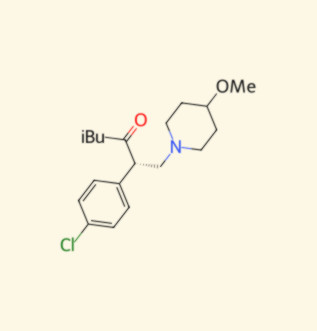 CCC(C)C(=O)[C@H](CN1CCC(OC)CC1)c1ccc(Cl)cc1